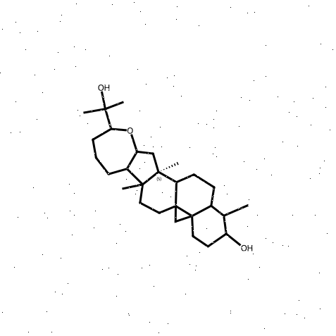 CC1C(O)CCC23CC24CCC2(C)C5CCCC(C(C)(C)O)OC5C[C@@]2(C)C4CCC13